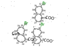 O=C([O-])c1cccc2ccc(Br)cc12.O=C([O-])c1cccc2ccc(Br)cc12.O=C([O-])c1cccc2ccc(Br)cc12.[Ga+3]